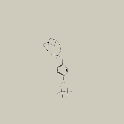 CC1(C)OB(c2ccc(O[C@H]3CCC4CC5(C4)CC5C3)cc2)OC1(C)C